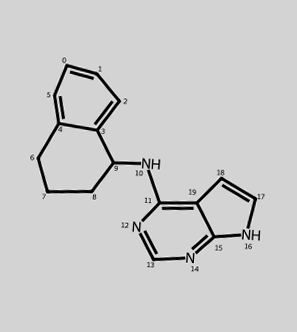 c1ccc2c(c1)CCCC2Nc1ncnc2[nH]ccc12